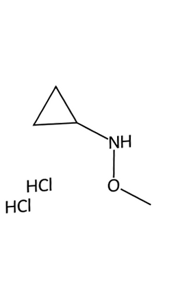 CONC1CC1.Cl.Cl